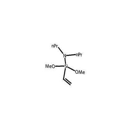 C=C[Si](OC)(OC)N(CCC)CCC